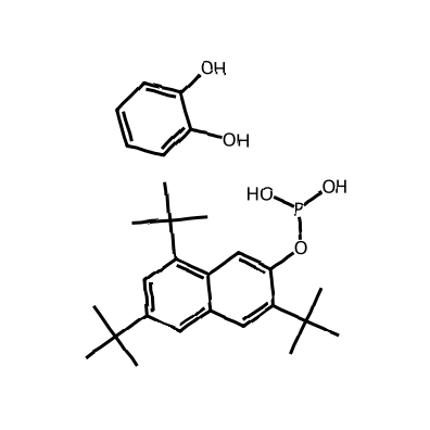 CC(C)(C)c1cc(C(C)(C)C)c2cc(OP(O)O)c(C(C)(C)C)cc2c1.Oc1ccccc1O